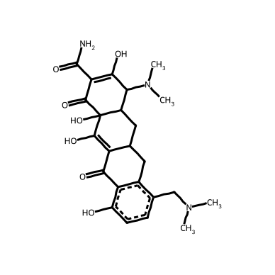 CN(C)Cc1ccc(O)c2c1CC1CC3C(N(C)C)C(O)=C(C(N)=O)C(=O)C3(O)C(O)=C1C2=O